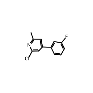 Cc1cc(-c2[c]ccc(F)c2)cc(Cl)n1